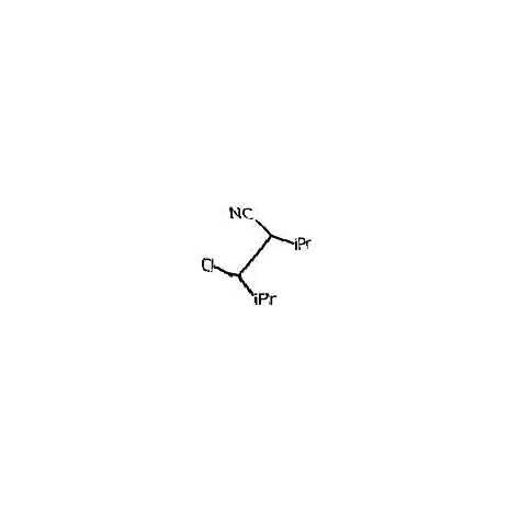 CC(C)[C](Cl)C(C#N)C(C)C